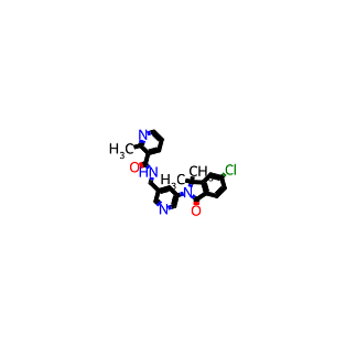 Cc1ncccc1C(=O)NCc1cncc(N2C(=O)c3ccc(Cl)cc3C2(C)C)c1